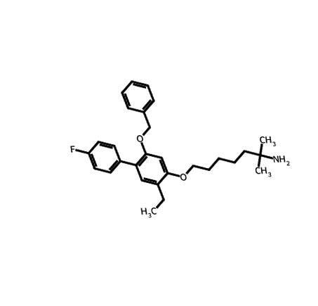 CCc1cc(-c2ccc(F)cc2)c(OCc2ccccc2)cc1OCCCCCC(C)(C)N